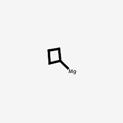 [Mg][CH]1CCC1